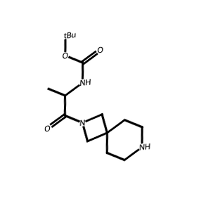 CC(NC(=O)OC(C)(C)C)C(=O)N1CC2(CCNCC2)C1